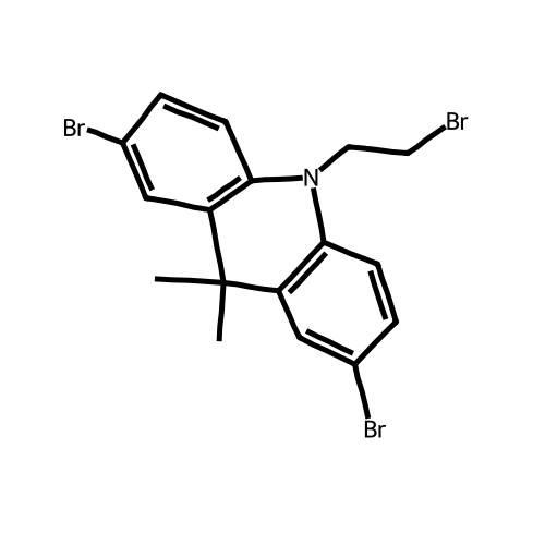 CC1(C)c2cc(Br)ccc2N(CCBr)c2ccc(Br)cc21